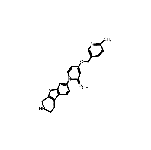 Cc1ccc(COc2ccn(-c3ccc4c5c(sc4c3)CNCC5)c(=O)c2)cn1.Cl